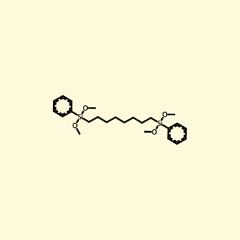 CO[Si](CCCCCCCC[Si](OC)(OC)c1ccccc1)(OC)c1ccccc1